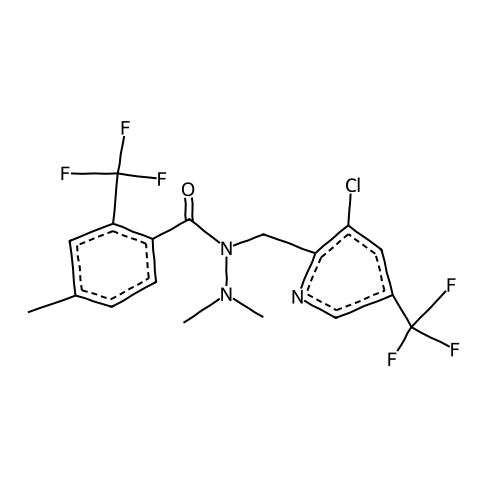 Cc1ccc(C(=O)N(Cc2ncc(C(F)(F)F)cc2Cl)N(C)C)c(C(F)(F)F)c1